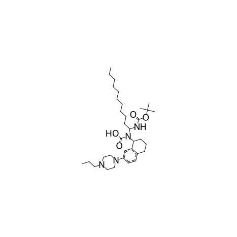 CCCCCCCCCCC(NC(=O)OC(C)(C)C)N(C(=O)O)C1CCCc2ccc(N3CCN(CCC)CC3)cc21